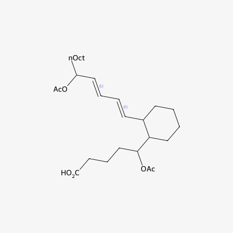 CCCCCCCCC(/C=C/C=C/C1CCCCC1C(CCCC(=O)O)OC(C)=O)OC(C)=O